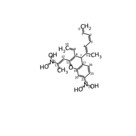 C=C/C=C\C=C(/C)C1C(C=C)=C(/C=C(\C)N(O)O)Oc2cc(N(O)O)ccc21